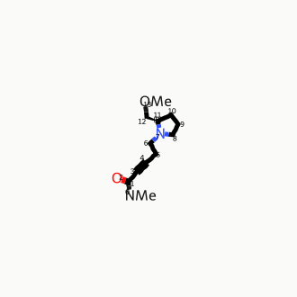 CNC(=O)C#CCCN1CCC[C@@H]1COC